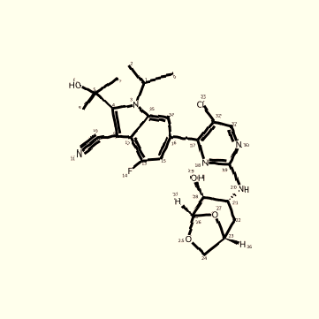 CC(C)n1c(C(C)(C)O)c(C#N)c2c(F)cc(-c3nc(N[C@@H]4C[C@@H]5CO[C@@H](O5)[C@H]4O)ncc3Cl)cc21